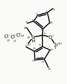 CC1=CC(C)=C(C([O][Zr+3])(C2=C(C)C=C(C)C2)[SiH](C)C)C1.[Cl-].[Cl-].[Cl-]